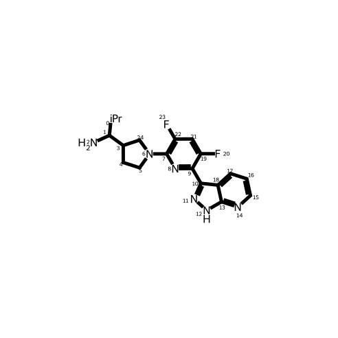 CC(C)C(N)C1CCN(c2nc(-c3n[nH]c4ncccc34)c(F)cc2F)C1